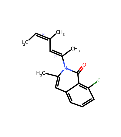 C/C=C(C)\C=C(/C)n1c(C)cc2cccc(Cl)c2c1=O